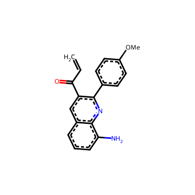 C=CC(=O)c1cc2cccc(N)c2nc1-c1ccc(OC)cc1